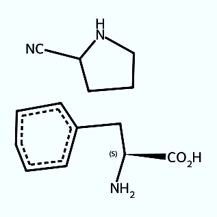 N#CC1CCCN1.N[C@@H](Cc1ccccc1)C(=O)O